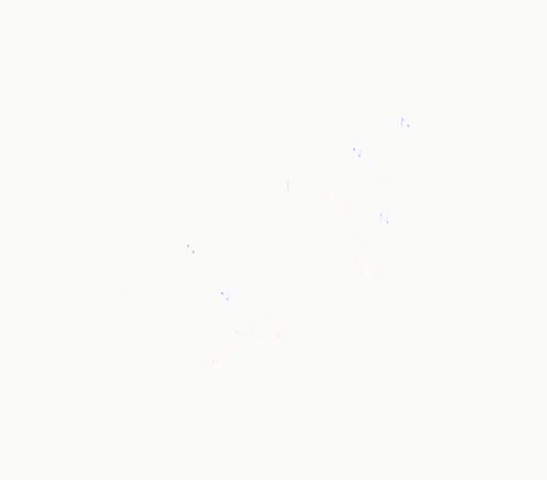 N#CC(c1ccccc1)n1c(=O)oc2cc(S(=O)(=O)Nc3ncns3)c(F)cc21